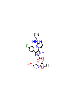 CC1(C(=O)N2CCC(O)C2)COC(c2nc(-c3ccc(F)cc3)c(-c3ccnc(NCCC#N)n3)[nH]2)OC1